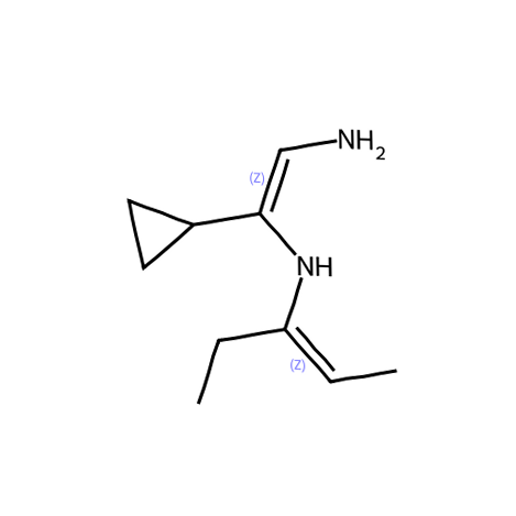 C/C=C(/CC)N/C(=C\N)C1CC1